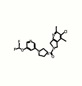 Cc1nc2c(c(C)c1Cl)CN(C(=O)[C@@H]1CCN(c3cncc(OC(F)F)c3)C1)C2